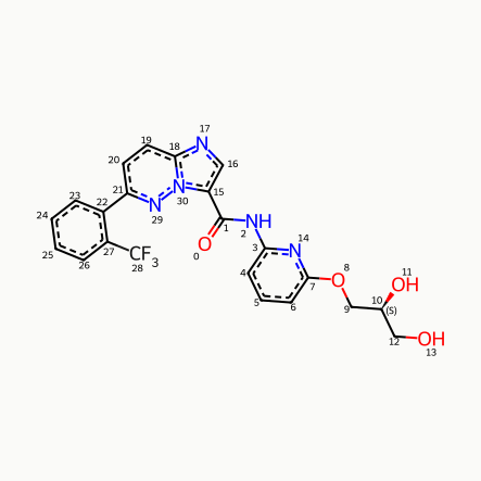 O=C(Nc1cccc(OC[C@@H](O)CO)n1)c1cnc2ccc(-c3ccccc3C(F)(F)F)nn12